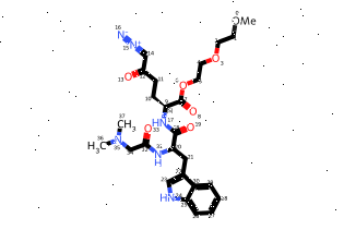 COCCOCCOC(=O)[C@H](CCC(=O)C=[N+]=[N-])NC(=O)C(Cc1c[nH]c2ccccc12)NC(=O)CN(C)C